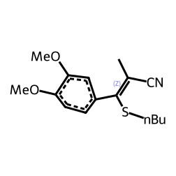 CCCCS/C(=C(/C)C#N)c1ccc(OC)c(OC)c1